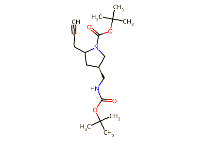 C#CCC1C[C@H](CNC(=O)OC(C)(C)C)CN1C(=O)OC(C)(C)C